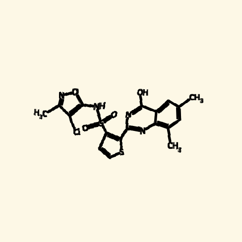 Cc1cc(C)c2nc(-c3sccc3S(=O)(=O)Nc3onc(C)c3Cl)nc(O)c2c1